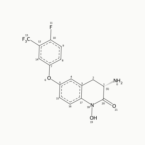 N[C@H]1Cc2cc(Oc3ccc(F)c(C(F)(F)F)c3)ccc2N(O)C1=O